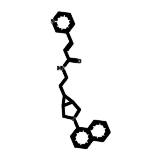 O=C(/C=C/c1cccnc1)NCCC1C2CN(c3cccc4ccccc34)CC12